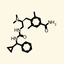 Cc1cc(C(N)=O)cc(C)c1C[C@@H](CNC(=O)NC(c1ccccc1)C1CC1)N(C)C